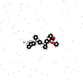 CC1(C)c2ccccc2-c2ccc(N(c3ccccc3)c3ccc(-n4c5ccccc5c5cc6c(cc54)Sc4ccccc4C64c5ccccc5N(c5ccccc5)c5ccccc54)cc3)cc21